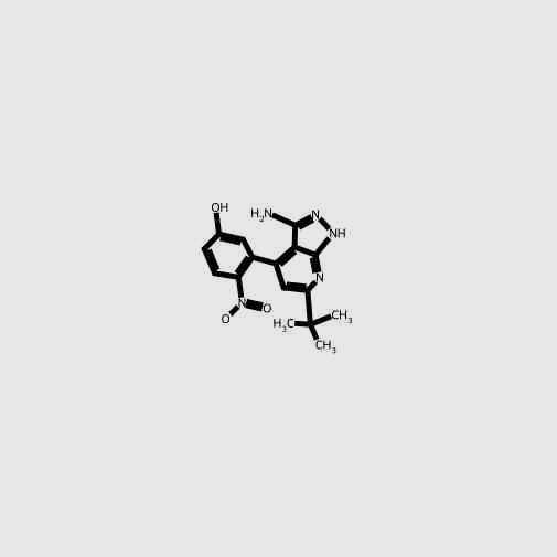 CC(C)(C)c1cc(-c2cc(O)ccc2[N+](=O)[O-])c2c(N)n[nH]c2n1